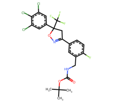 CC(C)(C)OC(=O)NCc1cc(C2=NOC(c3cc(Cl)c(Cl)c(Cl)c3)(C(F)(F)F)C2)ccc1F